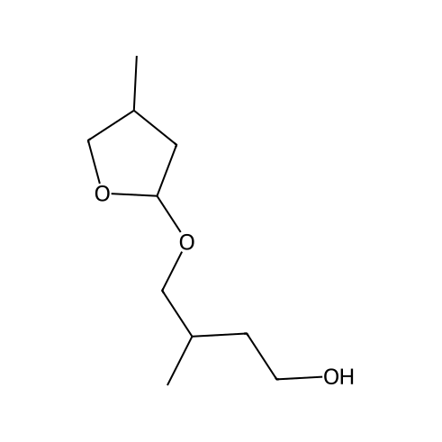 CC(CCO)COC1CC(C)CO1